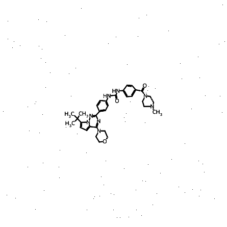 CN1CCN(C(=O)c2ccc(NC(=O)Nc3ccc(-c4nc(N5CCOCC5)c5ccc(C(C)(C)C)n5n4)cc3)cc2)CC1